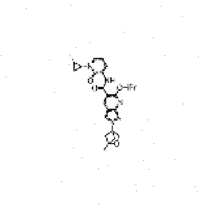 CC(C)Oc1nc2nn(C34COC(C)(C3)C4)cc2cc1C(=O)Nc1cccn([C@@H]2C[C@@H]2C)c1=O